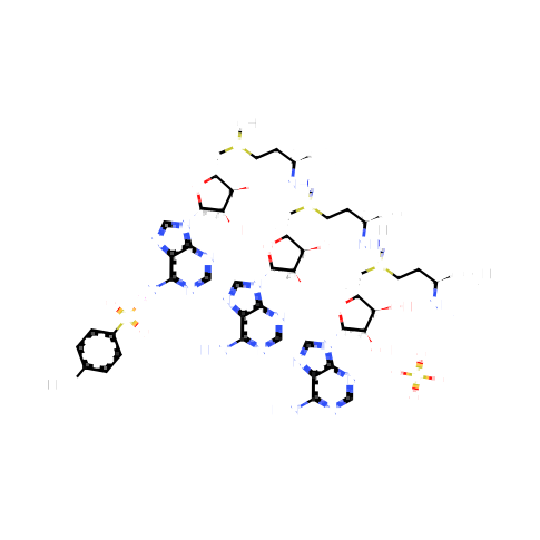 C[S+](CC[C@H](N)C(=O)O)C[C@H]1O[C@@H](n2cnc3c(N)ncnc32)[C@H](O)[C@@H]1O.C[S+](CC[C@H](N)C(=O)O)C[C@H]1O[C@@H](n2cnc3c(N)ncnc32)[C@H](O)[C@@H]1O.C[S+](CC[C@H](N)C(=O)O)C[C@H]1O[C@@H](n2cnc3c(N)ncnc32)[C@H](O)[C@@H]1O.Cc1ccc(S(=O)(=O)[O-])cc1.O=S(=O)([O-])[O-]